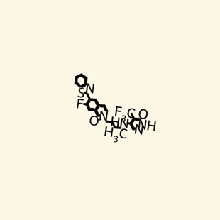 CC(CCCn1ccc2cc(-c3nc4ccccc4s3)c(F)cc2c1=O)Nc1cn[nH]c(=O)c1C(F)(F)F